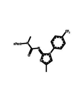 CCCCCN(C)C(=O)N=c1sc(C)cn1-c1ccc(C(F)(F)F)cc1